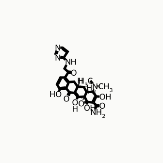 CN(C)[C@H]1C(O)=C(C(N)=O)C2(O)O[C@@]23C(O)=C2C(=O)c4c(O)ccc(C(=O)CNc5ccncn5)c4C[C@H]2C[C@@H]13